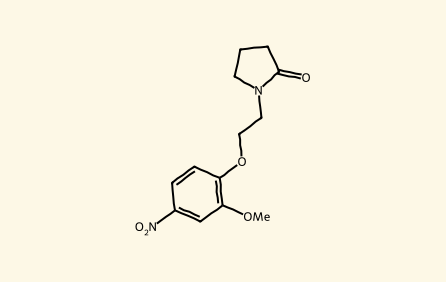 COc1cc([N+](=O)[O-])ccc1OCCN1CCCC1=O